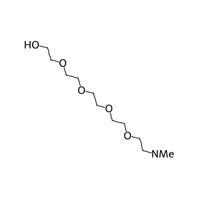 CNCCOCCOCCOCCOCCO